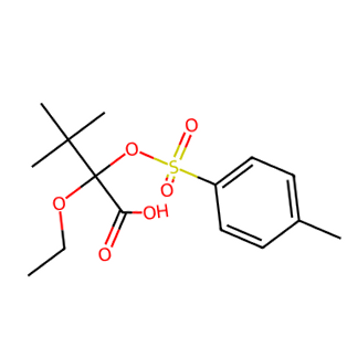 CCOC(OS(=O)(=O)c1ccc(C)cc1)(C(=O)O)C(C)(C)C